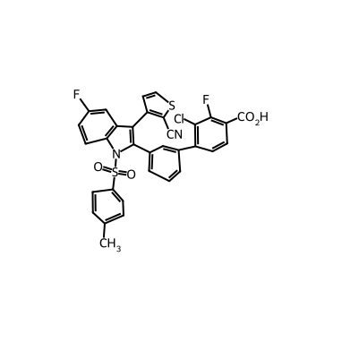 Cc1ccc(S(=O)(=O)n2c(-c3cccc(-c4ccc(C(=O)O)c(F)c4Cl)c3)c(-c3ccsc3C#N)c3cc(F)ccc32)cc1